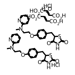 CN(CCOc1ccc(CC2SC(=O)NC2=O)cc1)c1ccccn1.CN(CCOc1ccc(CC2SC(=O)NC2=O)cc1)c1ccccn1.Cl.Cl.O.O=C(O)C=CC(=O)O.O=C(O)C=CC(=O)O